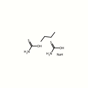 CCCC.NC(O)=S.NC(O)=S.[NaH]